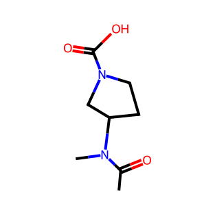 CC(=O)N(C)C1CCN(C(=O)O)C1